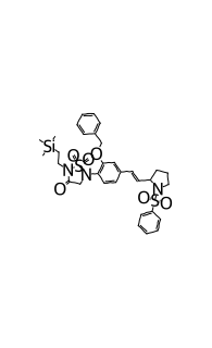 C[Si](C)(C)CCN1C(=O)CN(c2ccc(C=CC3CCCN3S(=O)(=O)c3ccccc3)cc2OCc2ccccc2)S1(=O)=O